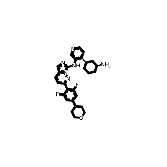 N[C@H]1CCC[C@@H](c2ccncc2Nc2ncc3ccc(-c4c(F)cc(C5CCOCC5)cc4F)nn23)C1